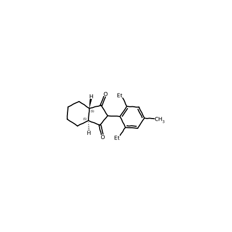 CCc1cc(C)cc(CC)c1C1C(=O)[C@H]2CCCC[C@@H]2C1=O